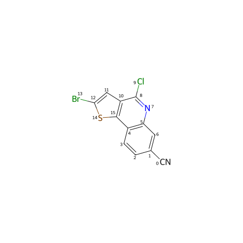 N#Cc1ccc2c(c1)nc(Cl)c1cc(Br)sc12